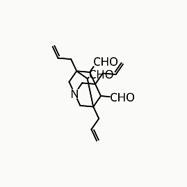 C=CCC12CN3CC(CC=C)(C1C=O)C(C=O)C(CC=C)(C3)C2C=O